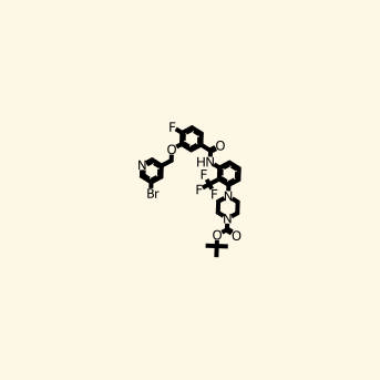 CC(C)(C)OC(=O)N1CCN(c2cccc(NC(=O)c3ccc(F)c(OCc4cncc(Br)c4)c3)c2C(F)(F)F)CC1